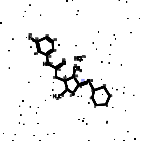 CC1S/C(=N\C2CCCCC2)N(C)C1CC(=O)Nc1cccc(F)c1.Cl